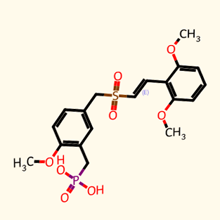 COc1ccc(CS(=O)(=O)/C=C/c2c(OC)cccc2OC)cc1CP(=O)(O)O